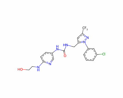 O=C(NCc1cc(C(F)(F)F)nn1-c1cccc(Cl)c1)Nc1ccc(NCCO)nc1